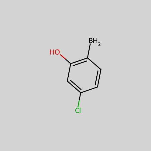 Bc1ccc(Cl)cc1O